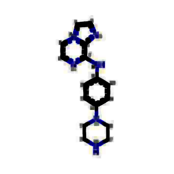 c1cn2ccnc2c(Nc2ccc(N3CCNCC3)cc2)n1